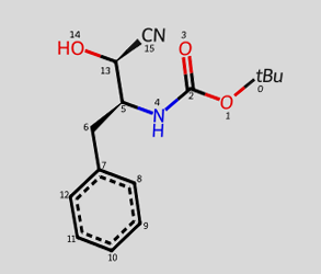 CC(C)(C)OC(=O)N[C@@H](Cc1ccccc1)[C@@H](O)C#N